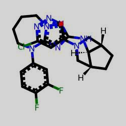 Fc1ccc(N2CCCCn3nc(N[C@@H]4[C@@H]5CC[C@H]4CN(c4cnnc(Cl)c4)C5)nc32)cc1F